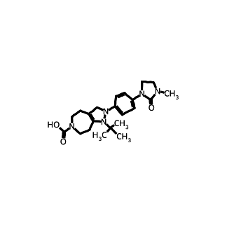 CN1CCN(c2ccc(N3CC4=C(CCN(C(=O)O)CC4)N3C(C)(C)C)cc2)C1=O